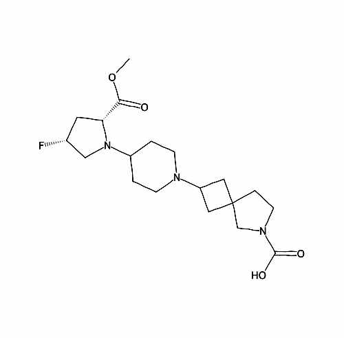 COC(=O)[C@H]1C[C@@H](F)CN1C1CCN(C2CC3(CCN(C(=O)O)C3)C2)CC1